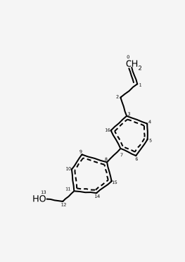 C=CCc1cccc(-c2ccc(CO)cc2)c1